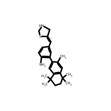 Cc1cc2c(cc1-c1cc(/C=C3/CNCS3)ccc1N)C(C)(C)CCC2(C)C